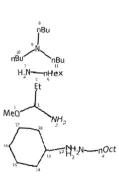 CCC(N)OC.CCCCCCCCN.CCCCCCN.CCCCN(CCCC)CCCC.NC1CCCCC1